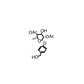 CC(=O)O[C@@H]1[C@H](Oc2ccc(CO)cc2)O[C@@H](C)[C@@H](OC(C)=O)[C@H]1O